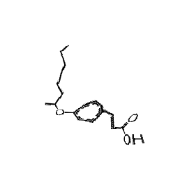 CCCCCC(C)Oc1ccc(C=CC(=O)O)cc1